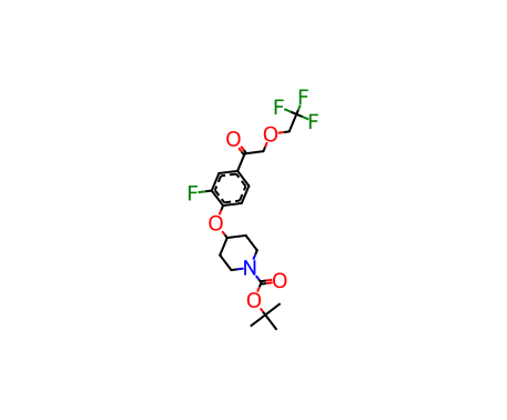 CC(C)(C)OC(=O)N1CCC(Oc2ccc(C(=O)COCC(F)(F)F)cc2F)CC1